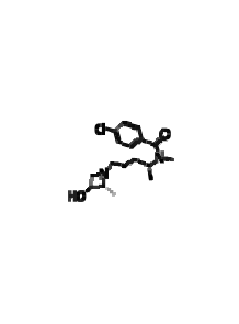 C[C@@H]1[C@@H](O)CN1CCC[C@H](C)N(C)C(=O)c1ccc(Cl)cc1